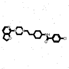 O=C(NC1CCC(CCN2CCN(c3nccc4c3OCC4)CC2)CC1)c1ccc(Cl)cc1